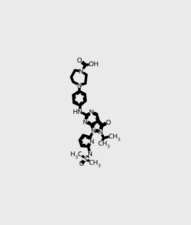 CC(C)n1c(=O)c2cnc(Nc3ccc(N4CCCN(C(=O)O)CC4)cc3)nc2n1-c1cccc(N=S(C)(C)=O)n1